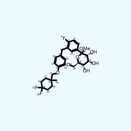 COC1(c2ccc(F)c(Cc3ccc(OCC4(C)CCC(F)(F)CC4)cc3)c2)O[C@H](CO)[C@@H](O)[C@H](O)[C@H]1O